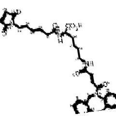 O=C(CCC(=O)N1Cc2ccccc2CCc2ccccc21)NCCCC[C@@H](NC(=O)CCCCCN1C(=O)C=CC1=O)C(=O)O